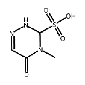 CN1C(=O)C=NNC1S(=O)(=O)O